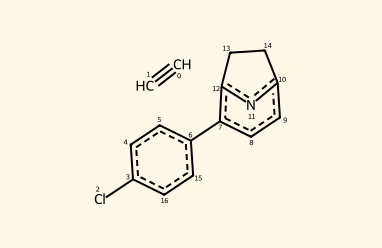 C#C.Clc1ccc(-c2ccc3nc2CC3)cc1